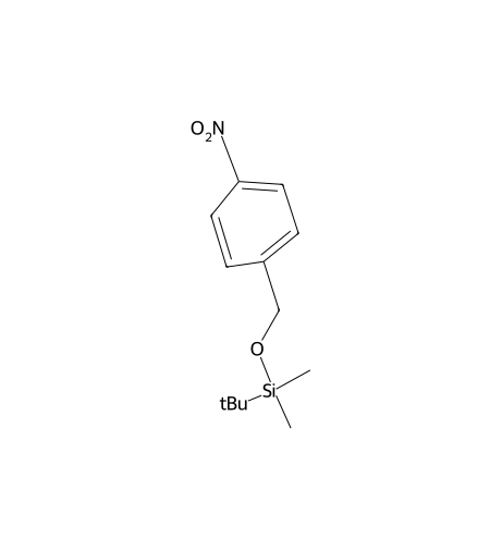 CC(C)(C)[Si](C)(C)OCc1ccc([N+](=O)[O-])cc1